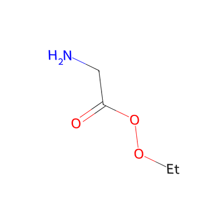 CCOOC(=O)CN